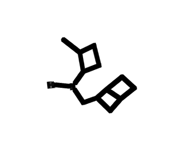 CCN(CC1CC2CCC21)C1CCC1C